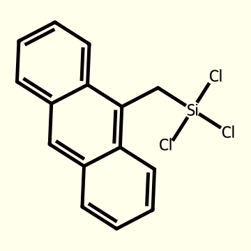 Cl[Si](Cl)(Cl)Cc1c2ccccc2cc2ccccc12